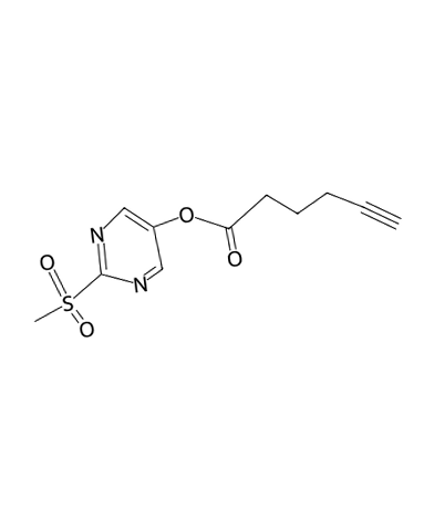 C#CCCCC(=O)Oc1cnc(S(C)(=O)=O)nc1